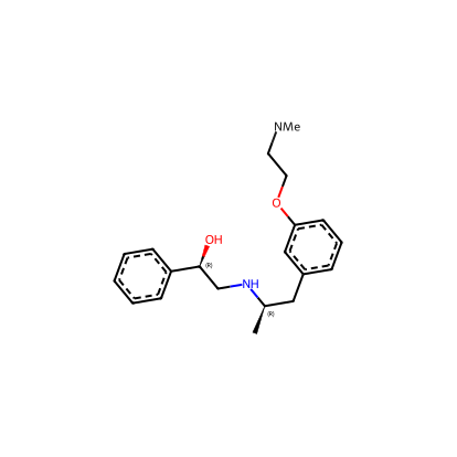 CNCCOc1cccc(C[C@@H](C)NC[C@H](O)c2ccccc2)c1